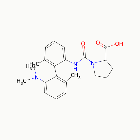 Cc1cccc(NC(=O)N2CCCC2C(=O)O)c1-c1c(C)cccc1N(C)C